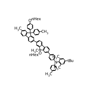 CCCCCCOc1ccc(C2(c3ccc(C)cc3)c3cc(C)ccc3-c3ccc(-c4ccc5c(c4)C(C)(OCCCCCC)c4cc(-c6ccc(N(c7ccc(C)cc7)c7c(C)cc(C(C)(C)C)cc7C)cc6)ccc4-5)cc32)cc1